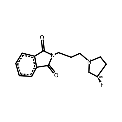 O=C1c2ccccc2C(=O)N1CCCN1CC[C@@H](F)C1